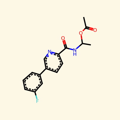 CC(=O)OC(C)NC(=O)c1ccc(-c2cccc(F)c2)cn1